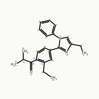 CCc1cn(-c2ccccc2)c(-c2ccc(C(=O)C(C)C)c(CC)c2)n1